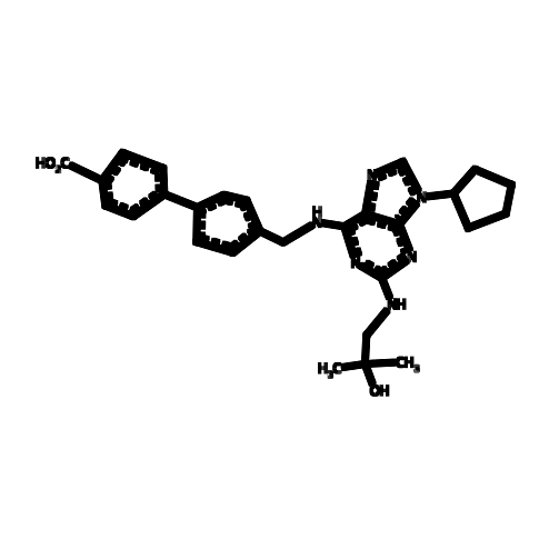 CC(C)(O)CNc1nc(NCc2ccc(-c3ccc(C(=O)O)cc3)cc2)c2ncn(C3CCCC3)c2n1